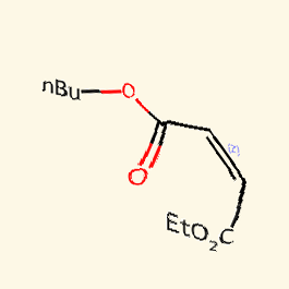 CCCCOC(=O)/C=C\C(=O)OCC